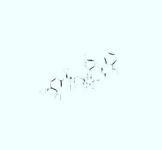 Cc1sc2c(c1C)C(c1ccccc1Cl)=NCc1nnc(CNC(=O)c3ccc(Cl)c(Cl)c3)n1-2